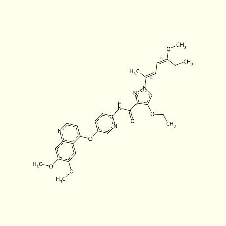 CCOc1cn(/C(C)=C/C=C(\CC)OC)nc1C(=O)Nc1ccc(Oc2ccnc3cc(OC)c(OC)cc23)cn1